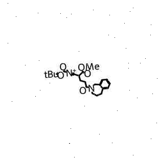 COC(=O)C(C#[N+]C(=O)OC(C)(C)C)CCC(=O)N1CCCc2ccccc2C1